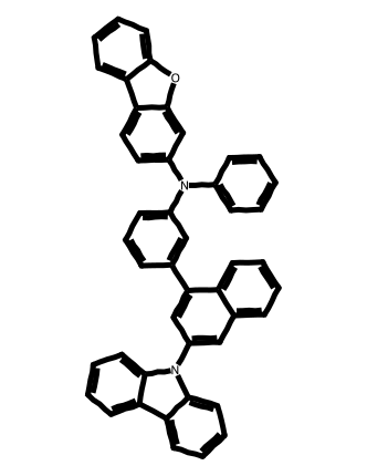 c1ccc(N(c2cccc(-c3cc(-n4c5ccccc5c5ccccc54)cc4ccccc34)c2)c2ccc3c(c2)oc2ccccc23)cc1